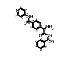 CC[C@H](NC(=O)C(N)c1ccc(C(=O)Nc2ccncc2)cc1)c1ccccc1